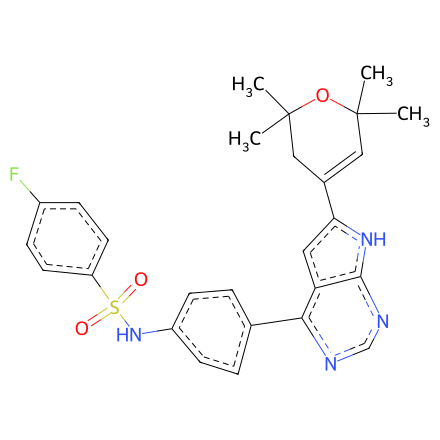 CC1(C)C=C(c2cc3c(-c4ccc(NS(=O)(=O)c5ccc(F)cc5)cc4)ncnc3[nH]2)CC(C)(C)O1